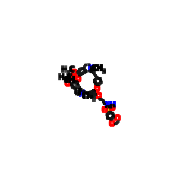 COc1cc2c3cc1Oc1c(OC)c(OC)cc4c1[C@H](Cc1ccc(OCCCNS(=O)(=O)c5ccc6c(c5)OCCO6)c(c1)Oc1ccc(cc1)C[C@H]3N(C)CC2)N(C)CC4